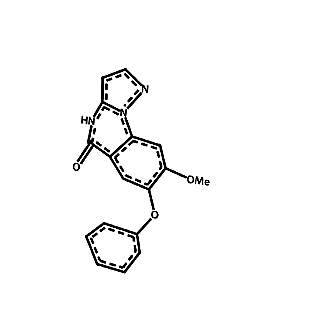 COc1cc2c(cc1Oc1ccccc1)c(=O)[nH]c1ccnn12